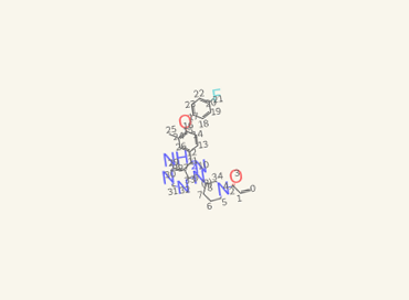 C=CC(=O)N1CCC[C@@H](n2nc(-c3ccc(Oc4ccc(F)cc4)c(C)c3)c3c(N)ncnc32)C1